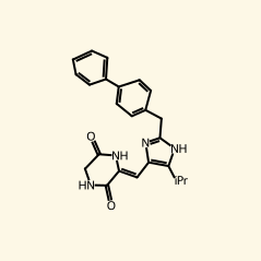 CC(C)c1[nH]c(Cc2ccc(-c3ccccc3)cc2)nc1C=C1NC(=O)CNC1=O